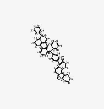 C1=Cc2oc3ccc4c(ccc5oc6cc(-c7c8ccccc8c(-c8ccc(-c9ccccc9)c9ccccc89)c8ccccc78)ccc6c54)c3c2CC1